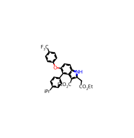 CCOC(=O)Cc1[nH]c2ccc(Oc3ccc(C(F)(F)F)cc3)c(-c3ccc(C(C)C)cc3)c2c1C(=O)OCC